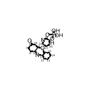 O=P(O)(O)O.O=c1ccc2nc3ccccc3oc-2c1.c1ccncc1